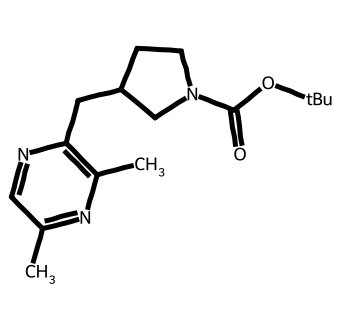 Cc1cnc(CC2CCN(C(=O)OC(C)(C)C)C2)c(C)n1